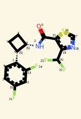 O=C(N[C@H]1CC[C@H]1c1ccc(F)cc1F)c1scnc1C(F)F